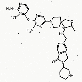 C[C@@H]1OCC2(CCN(c3cnc(Sc4ccnc(N)c4Cl)c(N)n3)CC2)[C@@H]1NCc1ccc2c(c1)CN(C1CCCNC1)C2=O